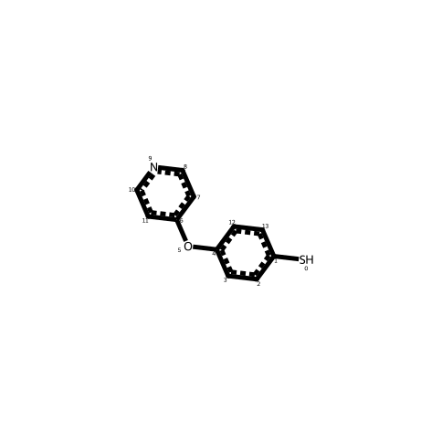 Sc1ccc(Oc2ccncc2)cc1